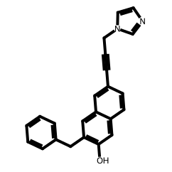 Oc1cc2ccc(C#CCn3ccnc3)cc2cc1Cc1ccccc1